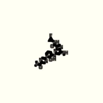 CNc1cc(Nc2cccn(-c3cnc(C(=O)N(C)C)cn3)c2=O)nn2c(C(=O)NC3C[C@@H]3F)cnc12